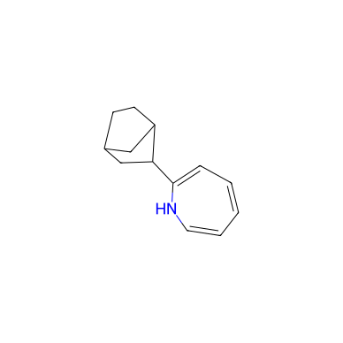 C1=CC=C(C2CC3CCC2C3)NC=C1